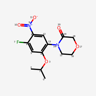 CC(C)Oc1cc(F)c([N+](=O)[O-])cc1N1CCOCC1=O